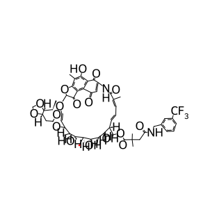 C/C1=C/C=C/[C@H](C(C)OC(=O)C(C)(C)CC(=O)NCc2cccc(C(F)(F)F)c2)[C@H](O)[C@@H](C)[C@@H](O)[C@@H](C)[C@H](O)[C@H](C)[C@@H](O[C@H]2C[C@@H]3OCO[C@@H]3[C@@H](C)O2)/C=C/O[C@@]2(C)Oc3c(C)c(O)c4c(c3C2=O)C(=O)C=C(NC1=O)C4=O